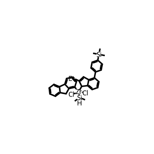 CCC1=Cc2c(-c3ccc([Si](C)(C)C)cc3)cccc2[CH]1[Zr]([Cl])([Cl])([c]1cccc2c1Cc1ccccc1-2)[SiH](C)C